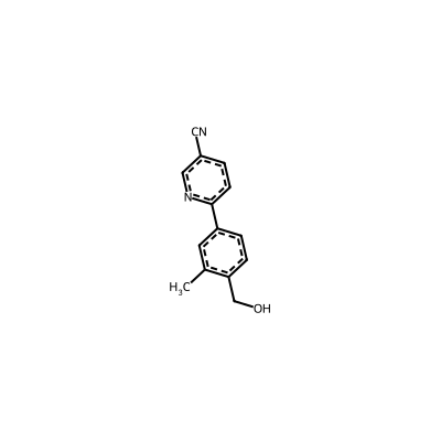 Cc1cc(-c2ccc(C#N)cn2)ccc1CO